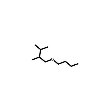 CCC[CH]OCC(C)C(C)C